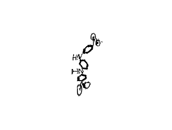 O=[N+]([O-])c1ccc(NC2CCCC(Nc3ccc([N+](=O)[O-])cc3)C2)cc1